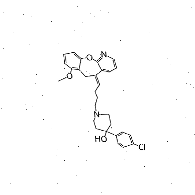 COc1cccc2c1CC(=CCCCN1CCC(O)(c3ccc(Cl)cc3)CC1)c1cccnc1O2